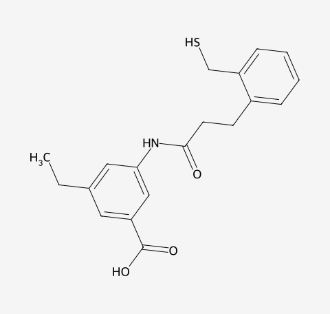 CCc1cc(NC(=O)CCc2ccccc2CS)cc(C(=O)O)c1